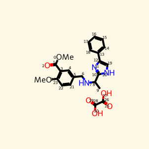 COC(=O)c1cc(CNC(C)c2nc(-c3ccccc3)c[nH]2)ccc1OC.O=C(O)C(=O)O